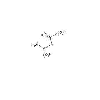 C=C(CC([AsH2])C(=O)O)C(=O)O